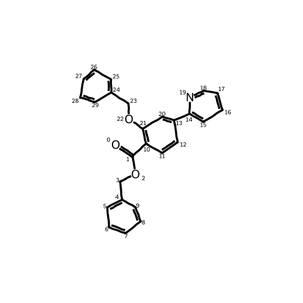 O=C(OCc1ccccc1)c1ccc(-c2ccccn2)cc1OCc1ccccc1